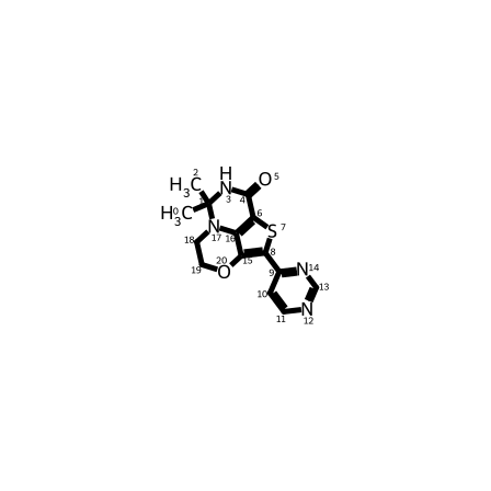 CC1(C)NC(=O)c2sc(-c3ccncn3)c3c2N1CCO3